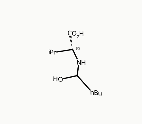 CCCCC(O)N[C@@H](C(=O)O)C(C)C